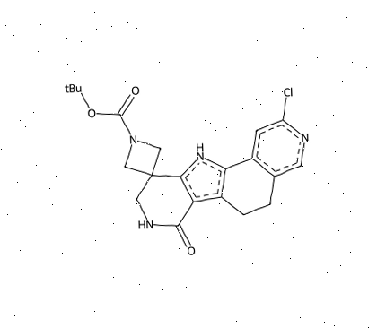 CC(C)(C)OC(=O)N1CC2(CNC(=O)c3c2[nH]c2c3CCc3cnc(Cl)cc3-2)C1